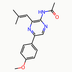 COc1ccc(-c2cnc(NC(C)=O)c(C=C(C)C)n2)cc1